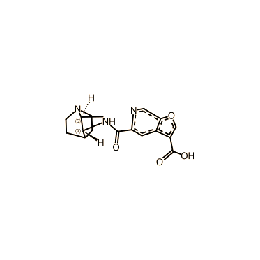 C[C@H]1[C@H](NC(=O)c2cc3c(C(=O)O)coc3cn2)C2CCN1CC2